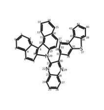 c1ccc2c(c1)ccc1c2c2c3ccccc3ccc2n1-c1nc2ccccc2nc1-c1ccc2c(c1)sc1ccccc12